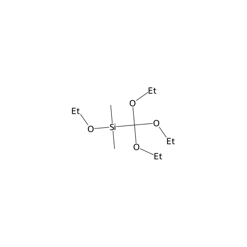 CCOC(OCC)(OCC)[Si](C)(C)OCC